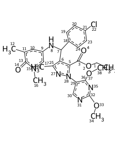 CCOC(=O)c1c(C(Nc2cc(C)c(=O)n(C)c2)c2ccc(Cl)cc2)c(C)nn1-c1cnc(OC)nc1OC